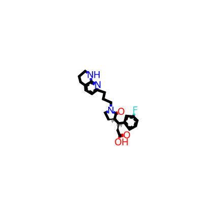 O=C(O)C[C@H](c1cccc(F)c1)[C@H]1CCN(CCCc2ccc3c(n2)NCCC3)C1=O